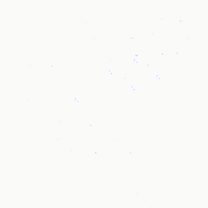 C=C1/C=C\C(=C)c2ccccc2N(C2=CCCC(c3ccc(-c4ccccc4)cc3)=C2)CCN(C(=N)/N=C(\NC)c2ccccc2)c2ccccc21